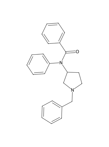 O=C(c1ccccc1)N(c1ccccc1)C1CCN(Cc2ccccc2)C1